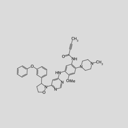 CC#CC(=O)Nc1cc(Nc2cc(N3OCCC3c3cccc(Oc4ccccc4)c3)ncn2)c(OC)cc1N1CCN(C)CC1